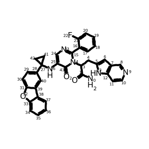 NC(=O)C(Cc1cc2cnccc2[nH]1)n1c(-c2ccccc2F)ncc(NC2(c3ccc4oc5ccccc5c4c3)CC2)c1=O